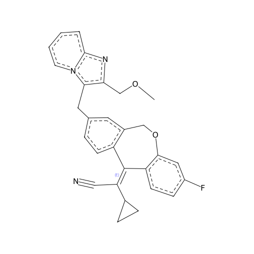 COCc1nc2ccccn2c1Cc1ccc2c(c1)COc1cc(F)ccc1/C2=C(/C#N)C1CC1